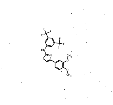 COc1ccc(-c2csc(Nc3cc(C(F)(F)F)cc(C(F)(F)F)c3)n2)cc1OC